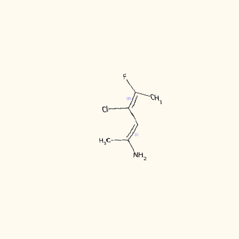 C/C(F)=C(Cl)\C=C(/C)N